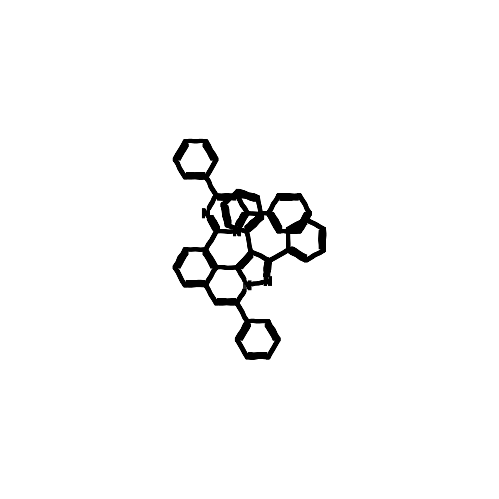 c1ccc(-c2cc(-c3ccccc3)nc(-c3cccc4cc(-c5ccccc5)n5nc(-c6ccccc6)c(-c6ccccc6)c5c34)n2)cc1